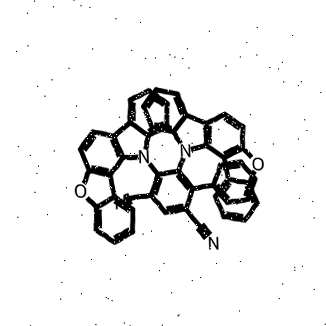 N#Cc1cc(C#N)c(-n2c3ccccc3c3ccc4oc5ccccc5c4c32)c(-n2c3ccccc3c3ccc4oc5ccccc5c4c32)c1-c1ccccc1